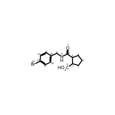 O=C(O)C1CCCC1C(=O)NCc1ccc(Br)cc1